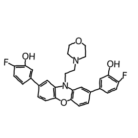 Oc1cc(-c2ccc3c(c2)N(CCN2CCOCC2)c2cc(-c4ccc(F)c(O)c4)ccc2O3)ccc1F